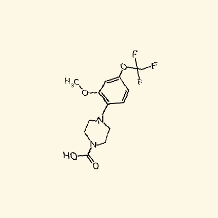 COc1cc(OC(F)(F)F)ccc1N1CCN(C(=O)O)CC1